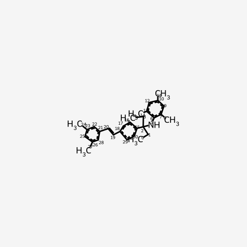 CCC(CC)(Nc1c(C)cc(C)cc1C)c1ccc(C=Cc2cc(C)cc(C)c2)cc1